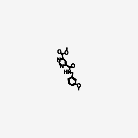 COC(=O)c1cc(C(=O)NCc2cccc(OC)c2)ncn1